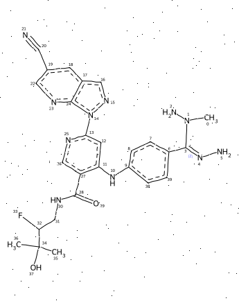 CN(N)/C(=N\N)c1ccc(Nc2cc(-n3ncc4cc(C#N)cnc43)ncc2C(=O)NCC(F)C(C)(C)O)cc1